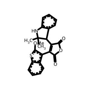 COc1sc2ccccc2c1C1=C(C2c3ccccc3NC2(C)C)C(=O)OC1=O